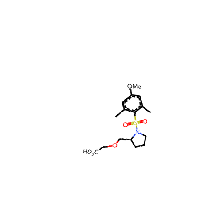 COc1cc(C)c(S(=O)(=O)N2CCC[C@H]2COCC(=O)O)c(C)c1